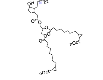 CC/C=C\CC1C(O)CCC1CC(=O)OCC(COC(=O)CCCCCCCC1CC1CCCCCCCC)OC(=O)CCCCCCCC1CC1CCCCCCCC